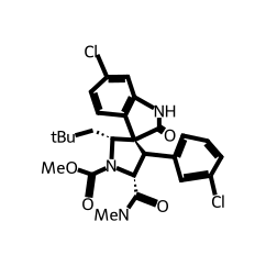 CNC(=O)[C@H]1C(c2cccc(Cl)c2)[C@@]2(C(=O)Nc3cc(Cl)ccc32)[C@@H](CC(C)(C)C)N1C(=O)OC